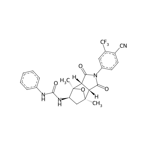 C[C@]12O[C@](C)(C[C@H]1NC(=O)Nc1ccccc1)[C@H]1C(=O)N(c3ccc(C#N)c(C(F)(F)F)c3)C(=O)[C@H]12